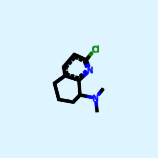 CN(C)C1CCCc2ccc(Cl)nc21